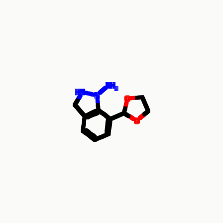 NN1NCc2cccc(C3OCCO3)c21